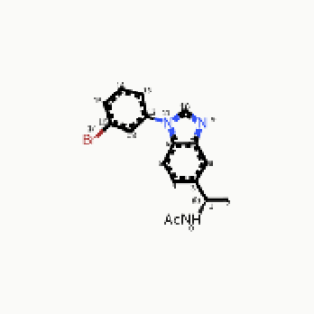 CC(=O)N[C@H](C)c1ccc2c(c1)ncn2-c1cccc(Br)c1